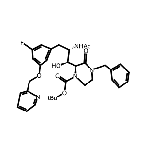 CC(=O)N[C@@H](Cc1cc(F)cc(OCc2ccccn2)c1)[C@H](O)[C@H]1C(=O)N(Cc2ccccc2)CCN1C(=O)OC(C)(C)C